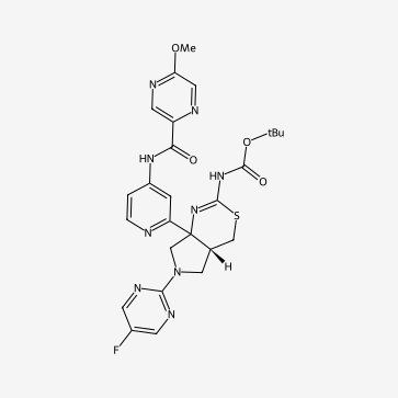 COc1cnc(C(=O)Nc2ccnc(C34CN(c5ncc(F)cn5)C[C@H]3CSC(NC(=O)OC(C)(C)C)=N4)c2)cn1